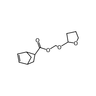 O=C(OCOC1CCCO1)C1CC2C=CC1C2